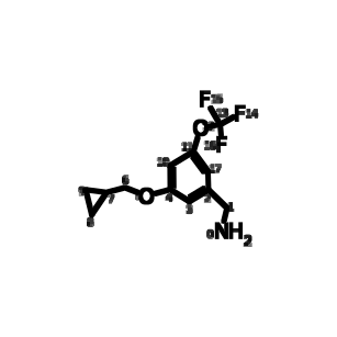 NCc1cc(OCC2CC2)cc(OC(F)(F)F)c1